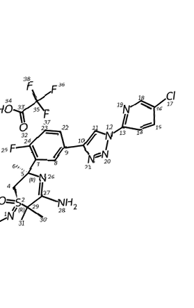 CN=[S@@]1(=O)C[C@@](C)(c2cc(-c3cn(-c4ccc(Cl)cn4)nn3)ccc2F)N=C(N)C1(C)C.O=C(O)C(F)(F)F